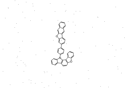 c1ccc2cc3c(cc2c1)oc1cc(-c2ccc(-n4c5ccccc5c5ccc6oc7ccccc7c6c54)cc2)ccc13